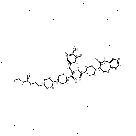 CCOC(=O)CCCN1CCC(N2CCN(C(=O)[C@@H](Cc3cc(C)c(O)c(C)c3)OC(=O)N3CCC(N4CCc5ccccc5NC4=O)CC3)CC2)CC1